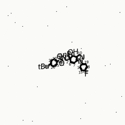 CCCN(C[C@]1(CO)C=Cc2c(cnn2-c2ccc(F)cc2)C1)S(=O)(=O)c1ccc(C(C)(C)C)cc1